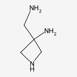 NCC1(N)CNC1